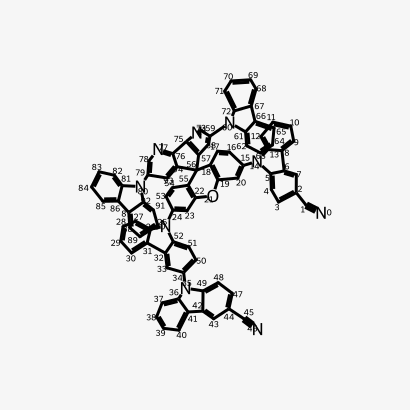 N#Cc1ccc2c(c1)c1ccccc1n2-c1ccc2c(c1)Oc1cc(-n3c4ccccc4c4cc(-n5c6ccccc6c6cc(C#N)ccc65)ccc43)ccc1C21c2cc(-n3c4ccccc4c4ccccc43)cnc2-c2ncc(-n3c4ccccc4c4ccccc43)cc21